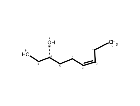 CC/C=C\CC[C@@H](O)CO